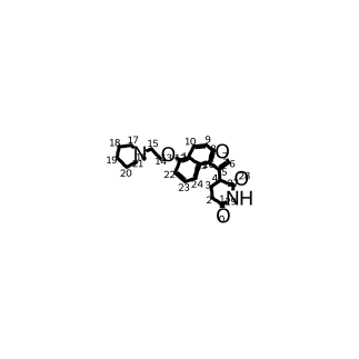 O=C1CCC(c2coc3ccc4c(OCCN5CCCCC5)cccc4c23)C(=O)N1